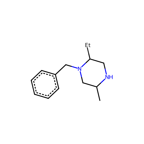 CCC1CNC(C)CN1Cc1ccccc1